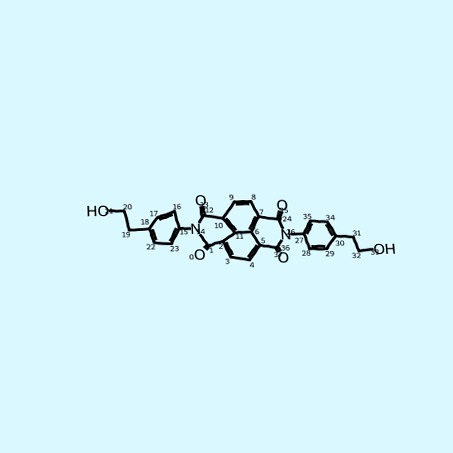 O=C1c2ccc3c4c(ccc(c24)C(=O)N1c1ccc(CCO)cc1)C(=O)N(c1ccc(CCO)cc1)C3=O